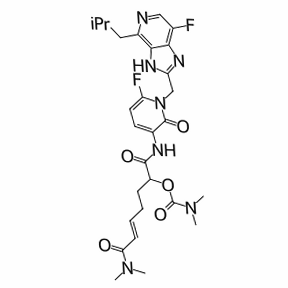 CC(C)Cc1ncc(F)c2nc(Cn3c(F)ccc(NC(=O)C(CCC=CC(=O)N(C)C)OC(=O)N(C)C)c3=O)[nH]c12